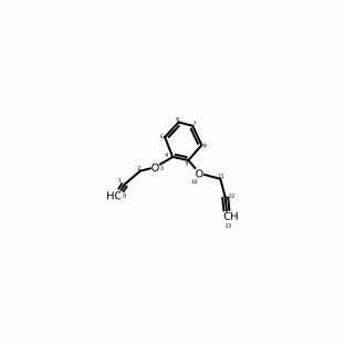 C#CCOc1[c]cccc1OCC#C